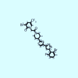 O=C(Cn1cc(C(F)(F)F)cc(Br)c1=O)N1CCC(c2nc(C3=NOC(c4c(F)cccc4Br)C3)cs2)CC1